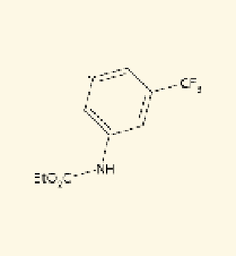 CCOC(=O)Nc1c[c]cc(C(F)(F)F)c1